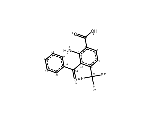 Nc1c(C(=O)O)ccc(C(F)(F)F)c1C(=O)c1ccccc1